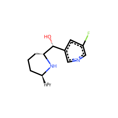 CCC[C@H]1CCC[C@H]([C@H](O)c2cncc(F)c2)N1